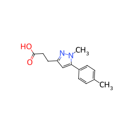 Cc1ccc(-c2cc(CCC(=O)O)nn2C)cc1